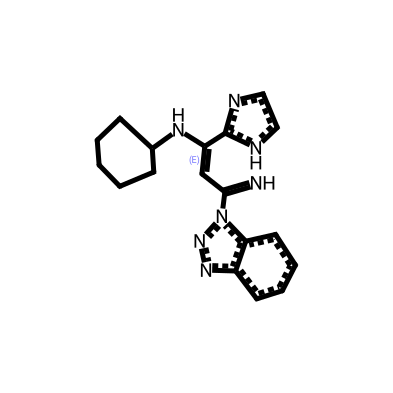 N=C(/C=C(/NC1CCCCC1)c1ncc[nH]1)n1nnc2ccccc21